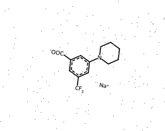 O=C([O-])c1cc(N2CCCCC2)cc(C(F)(F)F)c1.[Na+]